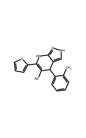 Cc1ccccc1C1C(C#N)=C(c2cccs2)Nc2n[nH]cc21